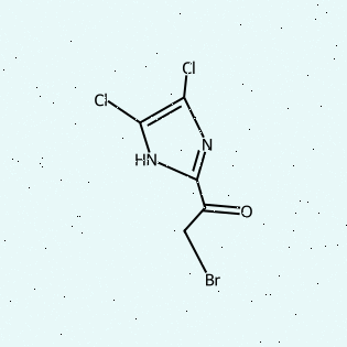 O=C(CBr)c1nc(Cl)c(Cl)[nH]1